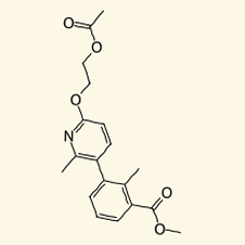 COC(=O)c1cccc(-c2ccc(OCCOC(C)=O)nc2C)c1C